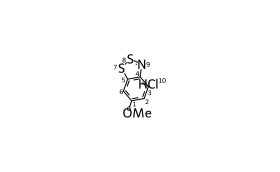 COc1ccc2c(c1)SS[N]2.Cl